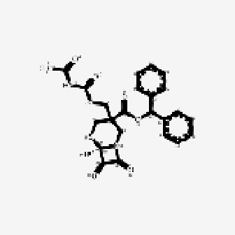 O=C(NC(=O)C(Cl)(Cl)Cl)OCC1(C(=O)OC(c2ccccc2)c2ccccc2)CS[C@@H]2C(=O)C(=O)N2C1